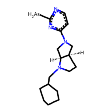 [AsH2]c1nccc(N2C[C@H]3CCN(CC4CCCCC4)[C@H]3C2)n1